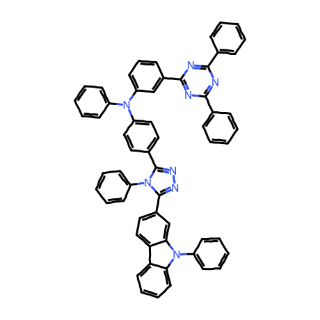 c1ccc(-c2nc(-c3ccccc3)nc(-c3cccc(N(c4ccccc4)c4ccc(-c5nnc(-c6ccc7c8ccccc8n(-c8ccccc8)c7c6)n5-c5ccccc5)cc4)c3)n2)cc1